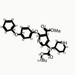 COC(=O)c1cc(N(C(=O)OC(C)(C)C)C2CCCNC2)cnc1Oc1ccc(Oc2ccccc2)cc1